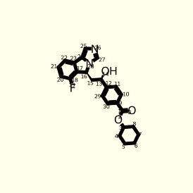 O=C(OC1CCCCC1)c1ccc([C@H](O)C[C@H]2c3c(F)cccc3-c3cncn32)cc1